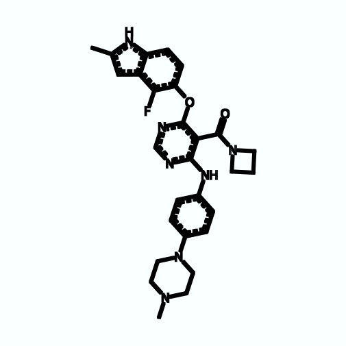 Cc1cc2c(F)c(Oc3ncnc(Nc4ccc(N5CCN(C)CC5)cc4)c3C(=O)N3CCC3)ccc2[nH]1